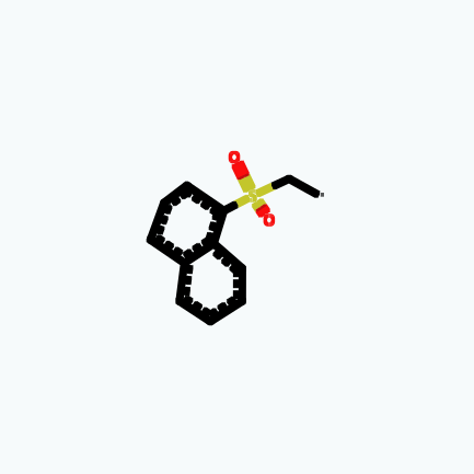 [CH2]CS(=O)(=O)c1cccc2ccccc12